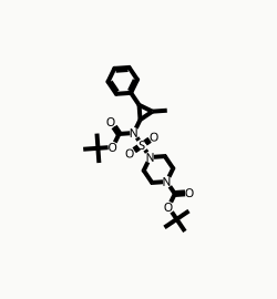 CC1C(c2ccccc2)C1N(C(=O)OC(C)(C)C)S(=O)(=O)N1CCN(C(=O)OC(C)(C)C)CC1